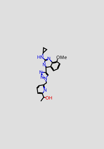 COc1cccc2c(-c3cn(Cc4cccc(C(C)O)n4)nn3)nc(NC3CC3)nc12